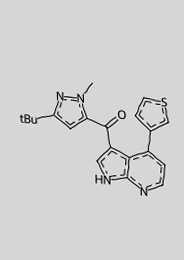 Cn1nc(C(C)(C)C)cc1C(=O)c1c[nH]c2nccc(-c3ccsc3)c12